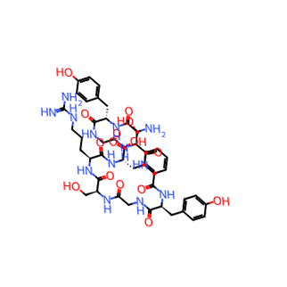 N=C(N)NCCC[C@H](NC(=O)[C@H](CO)NC(=O)CNC(=O)[C@H](Cc1ccc(O)cc1)NC(=O)CNC(=O)[C@H](CO)NC(=O)CNC(=O)[C@H](Cc1ccc(O)cc1)NC(=O)CN)C(=O)N[C@@H](Cc1ccccc1)C(=O)O